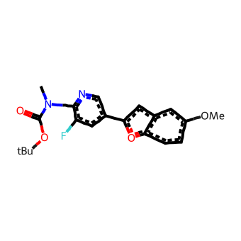 COc1ccc2oc(-c3cnc(N(C)C(=O)OC(C)(C)C)c(F)c3)cc2c1